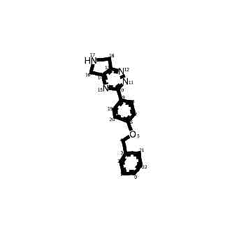 c1ccc(COc2ccc(-c3nnc4c(n3)CNC4)cc2)cc1